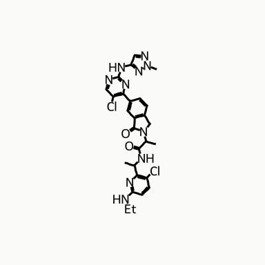 CCNc1ccc(Cl)c(C(C)NC(=O)C(C)N2Cc3ccc(-c4nc(Nc5cnn(C)n5)ncc4Cl)cc3C2=O)n1